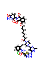 Cc1nc(Nc2ncc(C(=O)Nc3c(C)cccc3Cl)s2)cc(N2CCN(C(=O)CCCCCCCOc3cccc4c3C(=O)N(C3CCC(=O)NC3=O)C4=O)CC2)n1